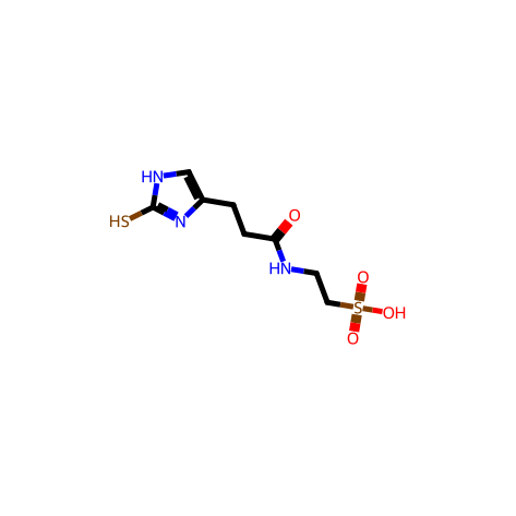 O=C(CCc1c[nH]c(S)n1)NCCS(=O)(=O)O